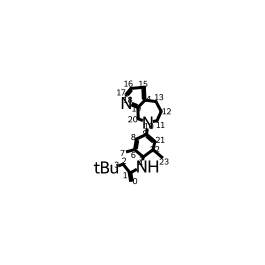 C=C(CC(C)(C)C)NC1C(C)=CC(N2CCCc3cccnc3C2)=CC1C